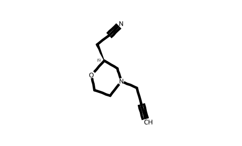 C#CCN1CCO[C@@H](CC#N)C1